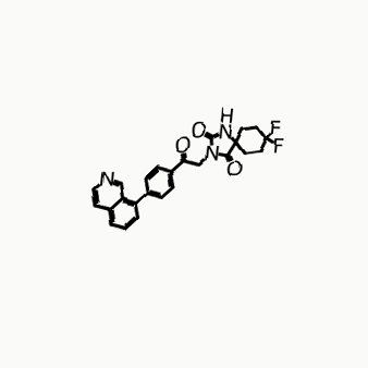 O=C(CN1C(=O)NC2(CCC(F)(F)CC2)C1=O)c1ccc(-c2cccc3ccncc23)cc1